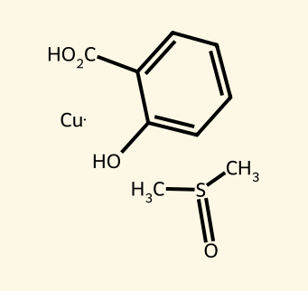 CS(C)=O.O=C(O)c1ccccc1O.[Cu]